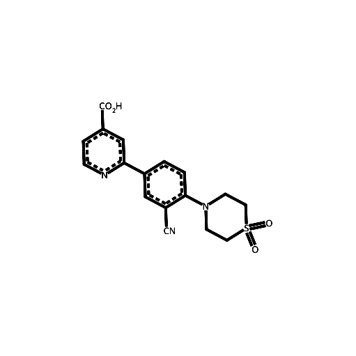 N#Cc1cc(-c2cc(C(=O)O)ccn2)ccc1N1CCS(=O)(=O)CC1